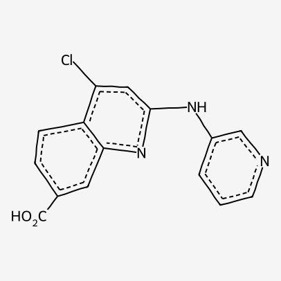 O=C(O)c1ccc2c(Cl)cc(Nc3cccnc3)nc2c1